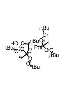 CCC(C)(OOC(C)(C)C)OOC(C)(C)C.CCCCC(CC(C)(OOC(C)(C)C)OOC(C)(C)C)C(=O)O